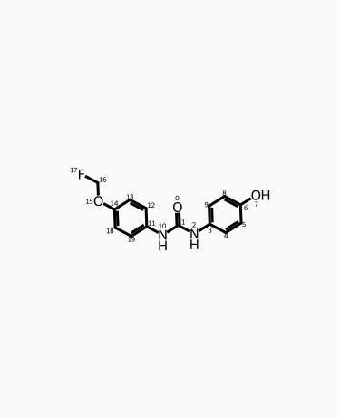 O=C(Nc1ccc(O)cc1)Nc1ccc(OCF)cc1